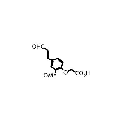 COc1cc(/C=C/C=O)ccc1OCC(=O)O